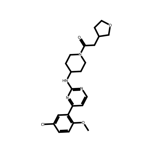 COc1ccc(Cl)cc1-c1ccnc(NC2CCN(C(=O)CC3CCOC3)CC2)n1